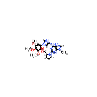 COc1cc(-n2cnc(Nc3nc(N4CCC[C@H]4CO)nc4c3ncn4C)c2)cc(OC)c1OC